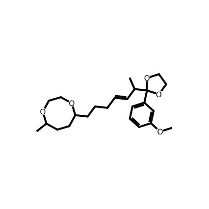 COc1cccc(C2(C(C)/C=C/CCCC3CCC(C)OCCO3)OCCO2)c1